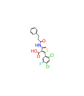 O=C(CCc1ccccc1)Nc1csc(-c2cc(F)c(Cl)cc2Cl)c1C(=O)O